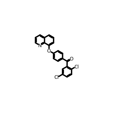 O=C(c1ccc(Oc2cccc3cccnc23)cc1)c1cc(Cl)ccc1Cl